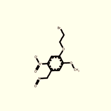 COc1cc(CN=O)c([N+](=O)[O-])cc1OCCBr